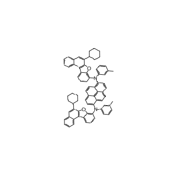 Cc1cccc(N(c2ccc3ccc4c(N(c5cccc(C)c5)c5cccc6c5oc5c(C7CCCCC7)cc7ccccc7c56)ccc5ccc2c3c54)c2cccc3c2oc2c(C4CCCCC4)cc4ccccc4c23)c1